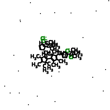 CC1=C(C)C(C)(C)C(C2=C(C)C(C)=C(C)C2(C)C)=C1C.[CH3][Zr+2]([CH3])([CH3])([CH3])[C]1=CC=CC1.[CH3][Zr]([CH3])([CH3])([Cl])([Cl])[C]1=CC=CC1.[Cl-].[Cl-]